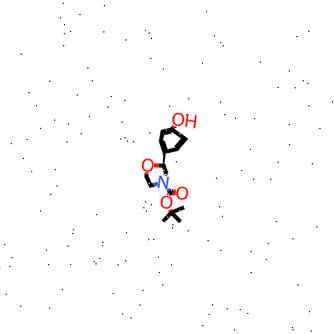 CC(C)(C)OC(=O)N1CCO[C@@H](c2ccc(O)cc2)C1